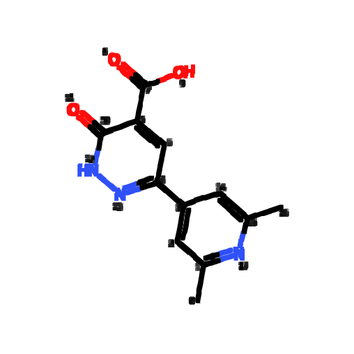 Cc1cc(-c2cc(C(=O)O)c(=O)[nH]n2)cc(C)n1